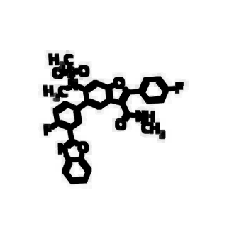 CNC(=O)c1c(-c2ccc(F)cc2)oc2cc(N(C)S(C)(=O)=O)c(-c3ccc(F)c(-c4nc5ccccc5o4)c3)cc12